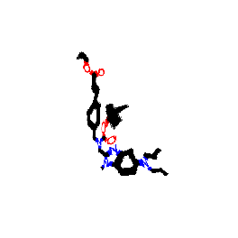 CCCN(CCC)c1ccc2c(c1)nc(CN(Cc1ccc(/C=C/C(=O)OCC)cc1)C(=O)OC(C)(C)C)n2C